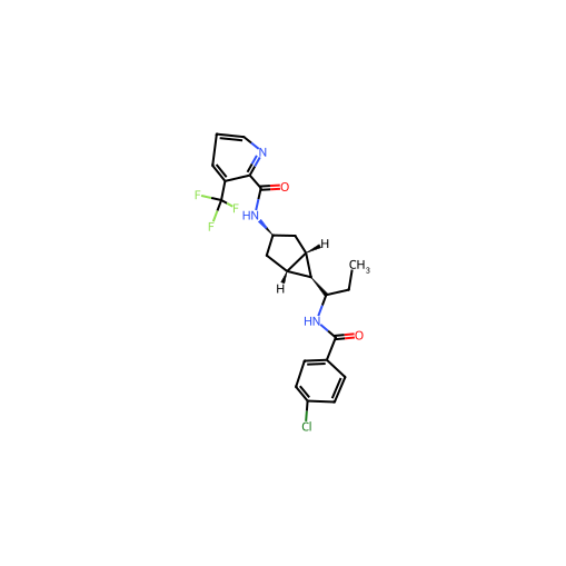 CCC(NC(=O)c1ccc(Cl)cc1)[C@H]1[C@@H]2C[C@@H](NC(=O)c3ncccc3C(F)(F)F)C[C@@H]21